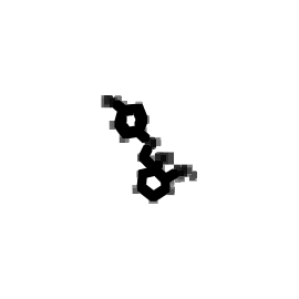 CC(C)c1ccc(OCC2(O)CCCCC2N)cc1